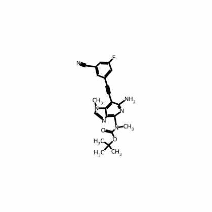 CN(C(=O)OC(C)(C)C)c1nc(N)c(C#Cc2cc(F)cc(C#N)c2)c2c1ncn2C